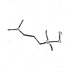 CCO[Si](C)(C)CCCN(C)C